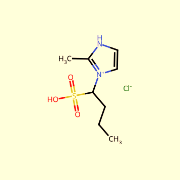 CCCC([n+]1cc[nH]c1C)S(=O)(=O)O.[Cl-]